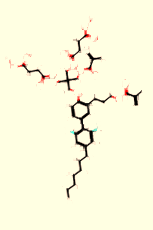 C=C(C)C(=O)OCCCc1cc(-c2c(F)cc(CCCCCCC)cc2F)ccc1OCC(COC(=O)CCC(=O)OC)(COC(=O)CCC(=O)OC)COC(=O)C(=C)C